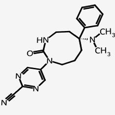 CN(C)[C@]1(c2ccccc2)CCCN(c2cnc(C#N)nc2)C(=O)NCC1